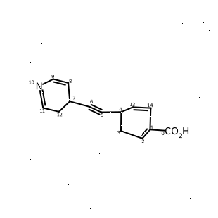 O=C(O)C1=CCC(C#CC2C=CN=CC2)C=C1